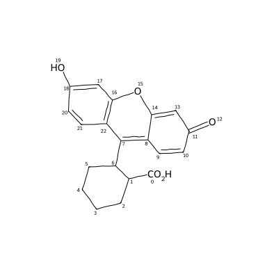 O=C(O)C1CCCCC1c1c2ccc(=O)cc-2oc2cc(O)ccc12